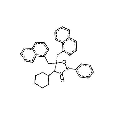 c1ccc(B2NC(C3CCCCC3)C(Cc3cccc4ccccc34)(Cc3cccc4ccccc34)O2)cc1